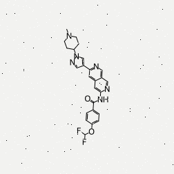 CN1CCC(n2cc(-c3cc4cc(NC(=O)c5ccc(OC(F)F)cc5)ncc4cn3)cn2)CC1